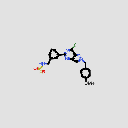 COc1ccc(Cn2cc3nc(-c4cccc(CN[SH](=O)=O)c4)nc(Cl)c3n2)cc1